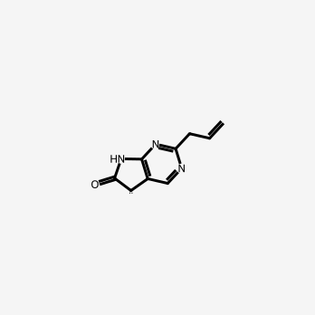 C=CCc1ncc2c(n1)NC(=O)[C]2